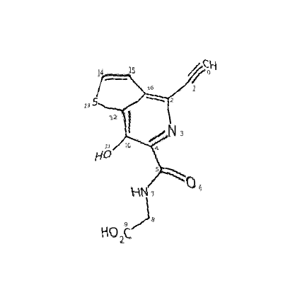 C#Cc1nc(C(=O)NCC(=O)O)c(O)c2sccc12